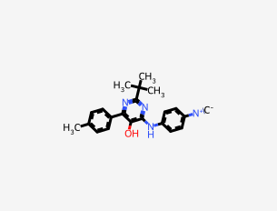 [C-]#[N+]c1ccc(Nc2nc(C(C)(C)C)nc(-c3ccc(C)cc3)c2O)cc1